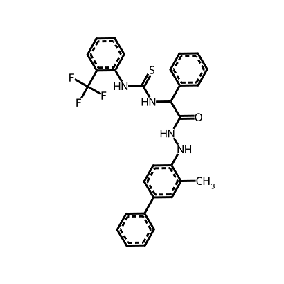 Cc1cc(-c2ccccc2)ccc1NNC(=O)C(NC(=S)Nc1ccccc1C(F)(F)F)c1ccccc1